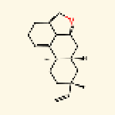 C=C[C@]1(C)CC[C@@]2(C)C3=CCC[C@]4(C)CO[C@H](C[C@@H]2C1)C34